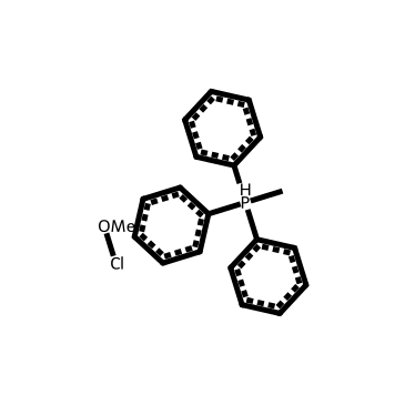 COCl.C[PH](c1ccccc1)(c1ccccc1)c1ccccc1